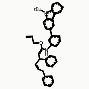 C=CCO/C(=C/C(/C=C\Cc1ccccc1)c1ccccc1)Nc1cccc(-c2ccc3c(c2)c2ccccc2n3C(C)(C)C)c1